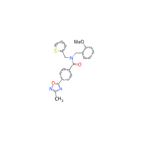 COc1ccccc1CN(Cc1cccs1)C(=O)c1ccc(-c2nc(C)no2)cc1